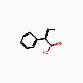 CC=C(B(O)O)c1ccccc1